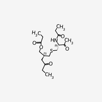 CCC(=O)C[C@@H](COC(=O)CC)CSC[C@H](NC(=O)CC)C(C)=O